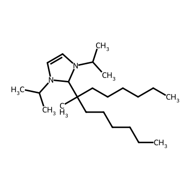 CCCCCCC(C)(CCCCCC)C1N(C(C)C)C=CN1C(C)C